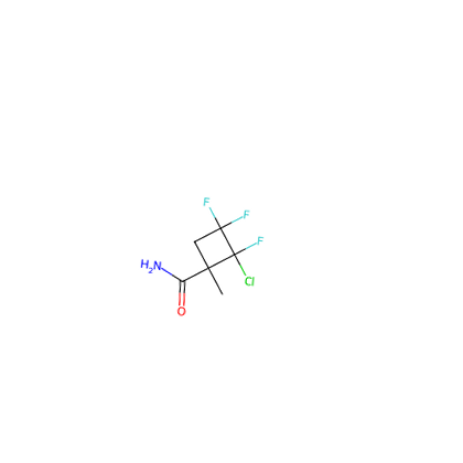 CC1(C(N)=O)CC(F)(F)C1(F)Cl